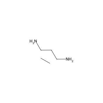 CC.NCCCN